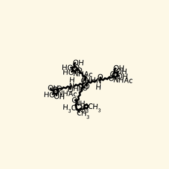 CC(=O)NC1C(OCCCCC(=O)NCCCCC(NC(=O)CCCCOC2OC(CO)C(O)C(O)C2NC(C)=O)C(=O)NC(CCCCNC(=O)CCCCOC2OC(CO)C(O)C(O)C2NC(C)=O)C(=O)NCCCCCC(=O)NCC(C)(C)CC(C)COC2CCC(C)C2)OC(CO)C(O)C1O